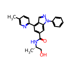 Cc1ccc(-c2cc(C(=O)N[C@@H](C)CO)cc3c2cnn3-c2ccccc2)nc1